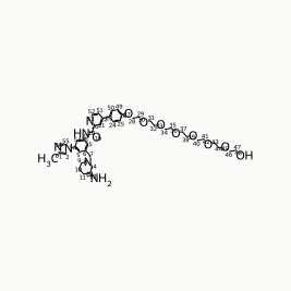 Cc1cn(-c2cc(CN3CCC[C@H](N)C3)cc(NC(=O)c3cc(-c4ccc(OCCOCCOCCOCCOCCOCCOCCO)cc4)ccn3)c2)cn1